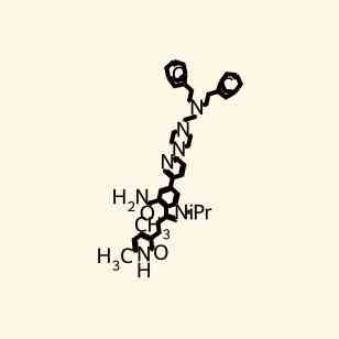 Cc1cc(C)c(CCc2cn(C(C)C)c3cc(-c4ccc(N5CCN(CCN(CCC67CC8CC(CC6C8)C7)CCC67CC8CC(CC6C8)C7)CC5)nc4)cc(C(N)=O)c23)c(=O)[nH]1